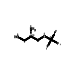 N[C@@H](CO)COC(F)(F)F